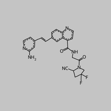 N#CC1CC(F)(F)CN1C(=O)CNC(=O)c1ccnc2ccc(C=Cc3ccnc(N)c3)cc12